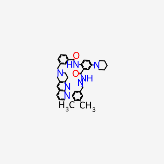 Cc1ccc(C=NNC(=O)c2cc(N3CCCCC3)ccc2NC(=O)c2cccc(CN3CCc4nc5ncccc5cc4C3)c2)cc1C